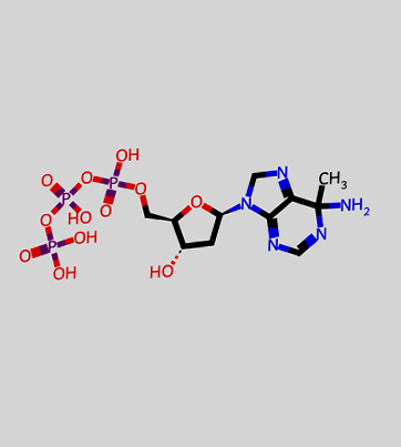 CC1(N)N=CN=C2C1=NCN2[C@H]1C[C@H](O)[C@@H](COP(=O)(O)OP(=O)(O)OP(=O)(O)O)O1